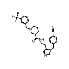 N#Cc1ccc(Cn2cncc2CCNC(=O)C2CCCN(Cc3cccc(C(F)(F)F)c3)C2)cc1